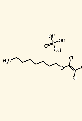 CCCCCCCCOC(Cl)=C(Cl)Cl.O=P(O)(O)O